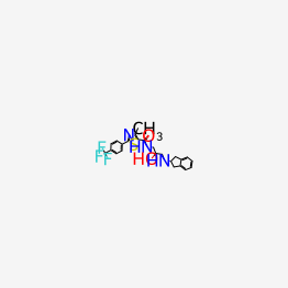 Cc1nc(-c2ccc(C(F)(F)F)cc2)sc1C(=O)NCC(O)CNC1Cc2ccccc2C1